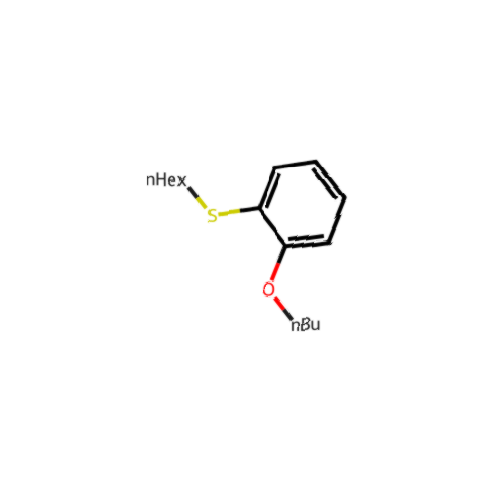 [CH2]CCCCCSc1ccccc1OCCCC